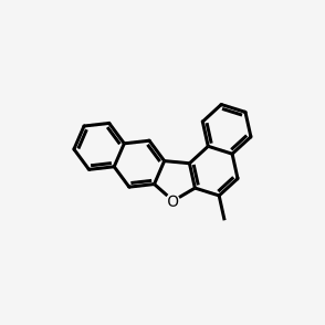 Cc1cc2ccccc2c2c1oc1cc3ccccc3cc12